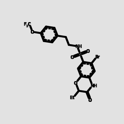 CCC1Oc2cc(S(=O)(=O)NCCc3ccc(OC(F)(F)F)cc3)c(Br)cc2NC1=O